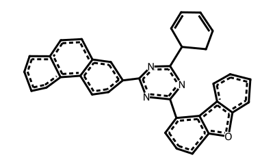 C1=CCC(c2nc(-c3ccc4c(ccc5ccccc54)c3)nc(-c3cccc4oc5ccccc5c34)n2)C=C1